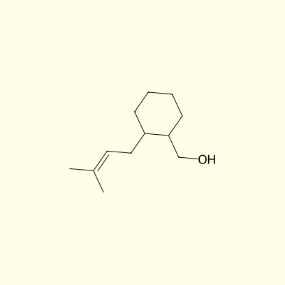 CC(C)=CCC1CCCCC1CO